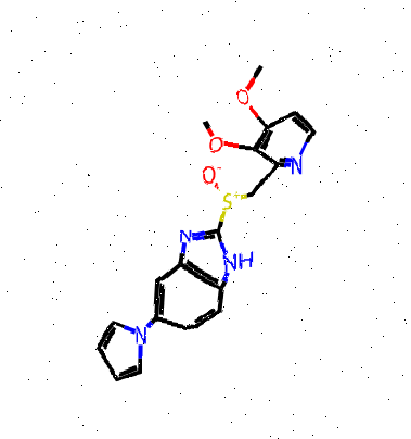 COc1ccnc(C[S@@+]([O-])c2nc3cc(-n4cccc4)ccc3[nH]2)c1OC